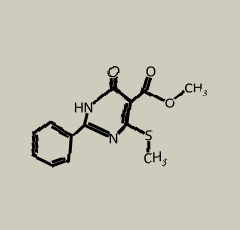 COC(=O)c1c(SC)nc(-c2ccccc2)[nH]c1=O